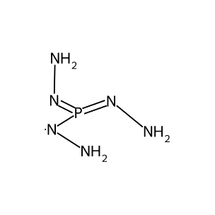 N[N]/P(=N\N)=N\N